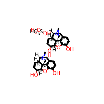 CN1CC[C@]23c4c5ccc(O)c4O[C@H]2[C@@H](O)C=C[C@H]3[C@H]1C5.CN1CC[C@]23c4c5ccc(O)c4O[C@H]2[C@@H](O)C=C[C@H]3[C@H]1C5.O.O=S(=O)(O)O